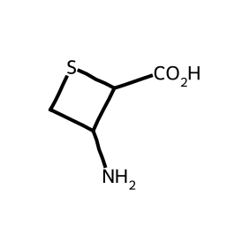 NC1CSC1C(=O)O